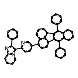 c1ccc(-c2nc3ccccn3c2-c2ccc(-c3ccc4c5c(cccc35)-c3c-4c(-c4ccccc4)c4ccccc4c3-c3ccccc3)cn2)cc1